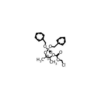 C[C@H](OC(=O)OCCl)[C@@H](C)OP(=O)(OCc1ccccc1)OCc1ccccc1